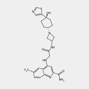 NC(=O)c1cc(NCC(=O)NC2CN([C@H]3CC[C@@](O)(c4cncs4)CC3)C2)c2cc(C(F)(F)F)ccc2n1